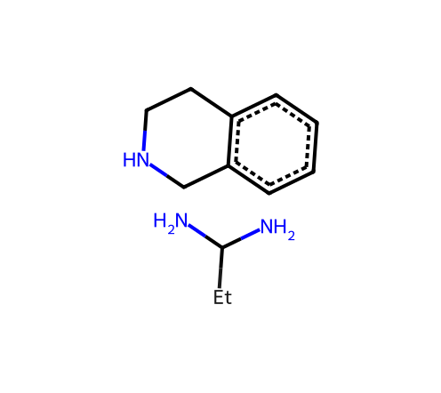 CCC(N)N.c1ccc2c(c1)CCNC2